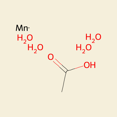 CC(=O)O.O.O.O.O.[Mn]